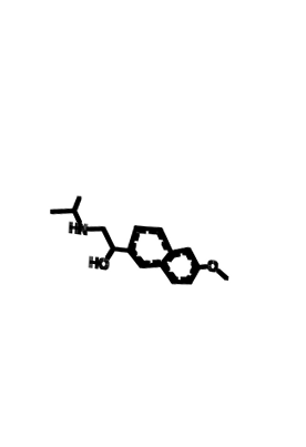 COc1ccc2cc(C(O)CNC(C)C)ccc2c1